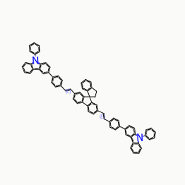 C(=C\c1ccc2c(c1)C1(CCc3ccccc31)c1cc(/C=C/c3ccc(-c4ccc5c(c4)c4ccccc4n5-c4ccccc4)cc3)ccc1-2)/c1ccc(-c2ccc3c(c2)c2ccccc2n3-c2ccccc2)cc1